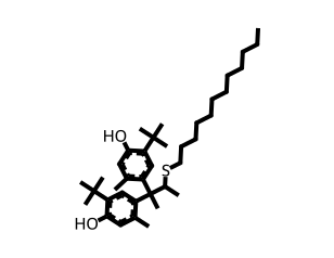 CCCCCCCCCCCCSC(C)C(C)(c1cc(C(C)(C)C)c(O)cc1C)c1cc(C(C)(C)C)c(O)cc1C